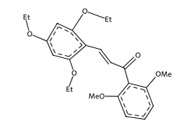 CCOc1cc(OCC)c(C=CC(=O)c2c(OC)cccc2OC)c(OCC)c1